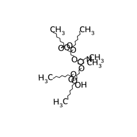 CCCCCCCC(=O)OCC(CCOc1cc(CN(C)C)cc(OCCC(COC(O)CCCCCCC)OC(=O)CCCCCCC)c1)OC(=O)CCCCCCC